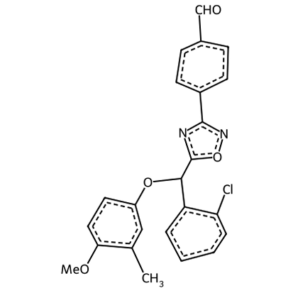 COc1ccc(OC(c2nc(-c3ccc(C=O)cc3)no2)c2ccccc2Cl)cc1C